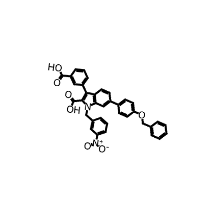 O=C(O)c1cccc(-c2c(C(=O)O)n(Cc3cccc([N+](=O)[O-])c3)c3cc(-c4ccc(OCc5ccccc5)cc4)ccc23)c1